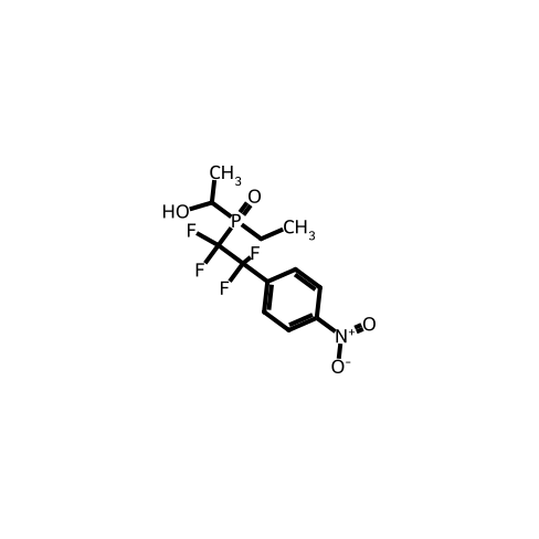 CCP(=O)(C(C)O)C(F)(F)C(F)(F)c1ccc([N+](=O)[O-])cc1